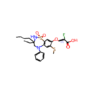 CCCCC1(CC)CN(c2ccccc2)c2cc(SC)c(O/C=C(\F)C(=O)O)cc2S(=O)(=O)N1